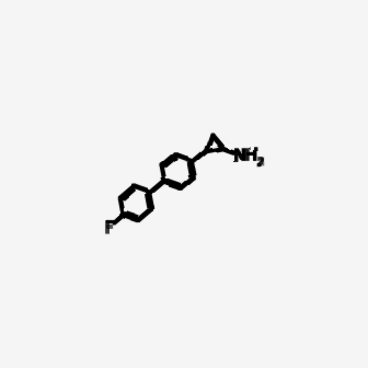 NC1CC1c1ccc(-c2ccc(F)cc2)cc1